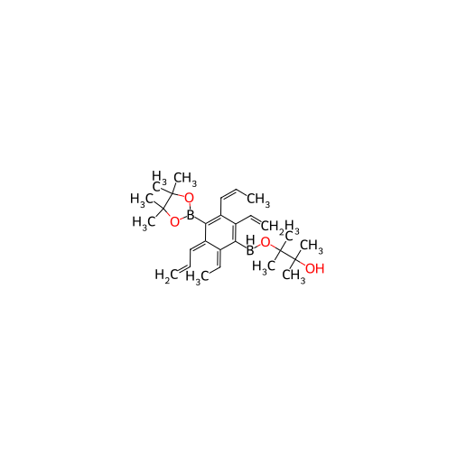 C=C/C=c1/c(B2OC(C)(C)C(C)(C)O2)c(/C=C\C)c(C=C)c(BOC(C)(C)C(C)(C)O)/c1=C/C